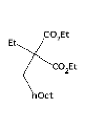 CCCCCCCCCC(CC)(C(=O)OCC)C(=O)OCC